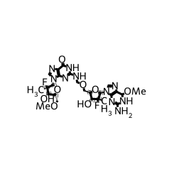 COC[C@H]1O[C@@H](n2cnc3c(=O)[nH]c(NCOC[C@H]4O[C@@H](n5cnc6c5N=C(N)NC6OC)[C@](C)(F)[C@@H]4O)nc32)[C@](C)(F)[C@@H]1O